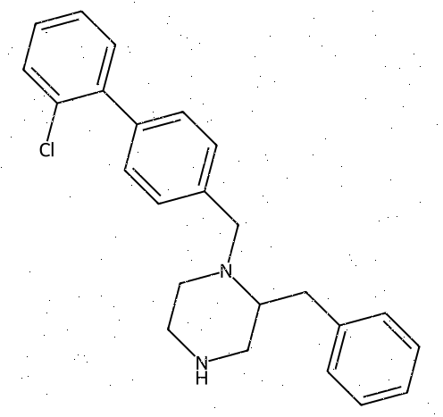 Clc1ccccc1-c1ccc(CN2CCNCC2Cc2ccccc2)cc1